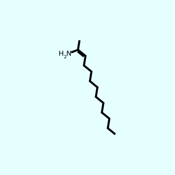 CCCCCCCCCCC=C(C)N